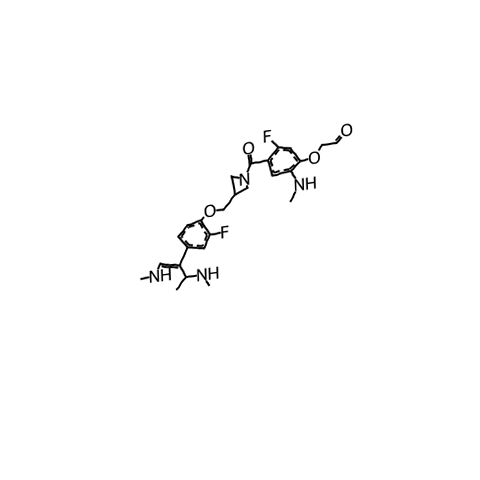 CN/C=C(/c1ccc(OCC2CN(C(=O)c3cc(NC)c(OCC=O)cc3F)C2)c(F)c1)C(C)NC